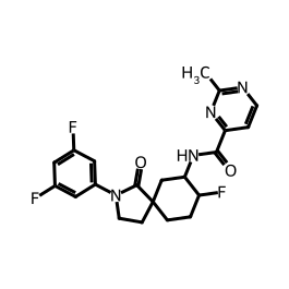 Cc1nccc(C(=O)NC2CC3(CCC2F)CCN(c2cc(F)cc(F)c2)C3=O)n1